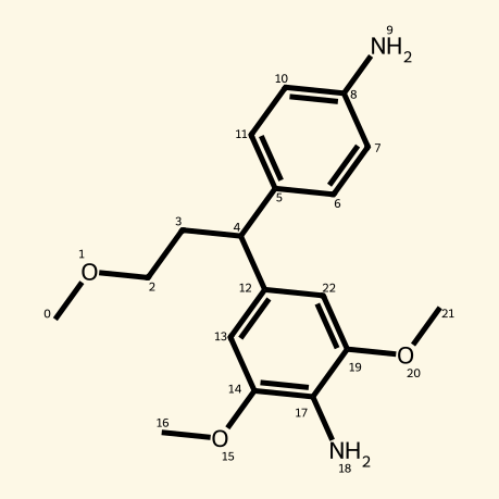 COCCC(c1ccc(N)cc1)c1cc(OC)c(N)c(OC)c1